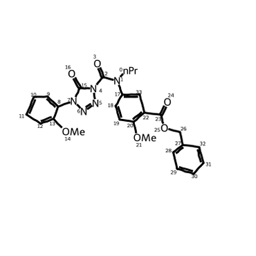 CCCN(C(=O)n1nnn(-c2ccccc2OC)c1=O)c1ccc(OC)c(C(=O)OCc2ccccc2)c1